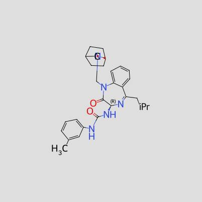 Cc1cccc(NC(=O)N[C@@H]2N=C(CC(C)C)c3ccccc3N(CN3CC4CCC(CC4)C3)C2=O)c1